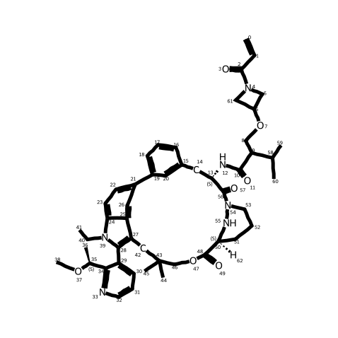 C=CC(=O)N1CC(OCC(C(=O)N[C@H]2Cc3cccc(c3)-c3ccc4c(c3)c(c(-c3cccnc3[C@H](C)OC)n4CC)CC(C)(C)COC(=O)[C@@H]3CCCN(N3)C2=O)C(C)C)C1